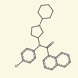 O=C(c1cccc2ccccc12)N(c1ccc(Cl)cc1)C1CCN(C2CCCCC2)C1